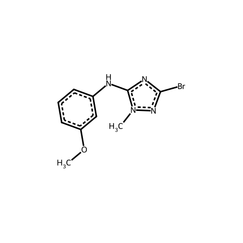 COc1cccc(Nc2nc(Br)nn2C)c1